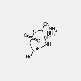 CCCNCCC.N.N.N#CSOS(=O)(=O)OSC#N